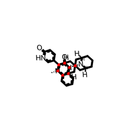 C[C@@H]1C[C@@H]2C[C@H](C1)C[C@@H](N1[C@@H]3CCC[C@H]1C[C@@H](n1c(=O)c(-c4ccc(=O)[nH]c4)nc4ccccc41)C3)C2